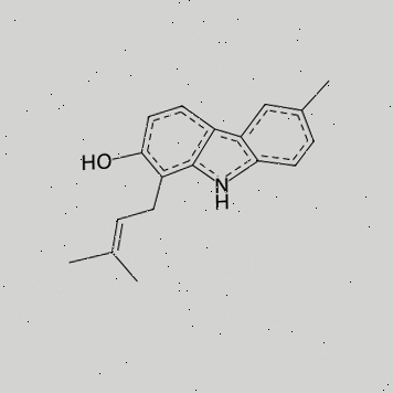 CC(C)=CCc1c(O)ccc2c1[nH]c1ccc(C)cc12